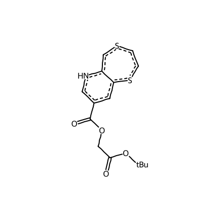 CC(C)(C)OC(=O)COC(=O)c1c[nH]c2csccsc-2c1